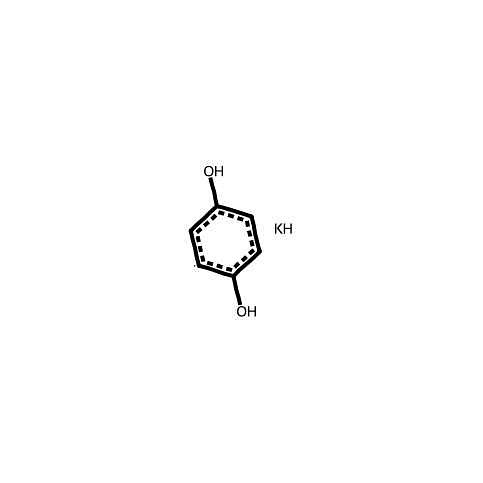 Oc1[c]cc(O)cc1.[KH]